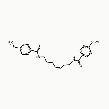 O=C(NCC/C=C\CCCNC(=O)c1ccc(OC(F)(F)F)cc1)c1ccc(OC(F)(F)F)cc1